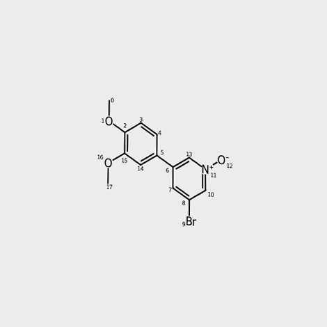 COc1ccc(-c2cc(Br)c[n+]([O-])c2)cc1OC